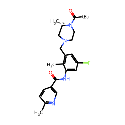 Cc1ccc(C(=O)Nc2cc(F)cc(CN3CCN(C(=O)C(C)(C)C)[C@@H](C)C3)c2C)cn1